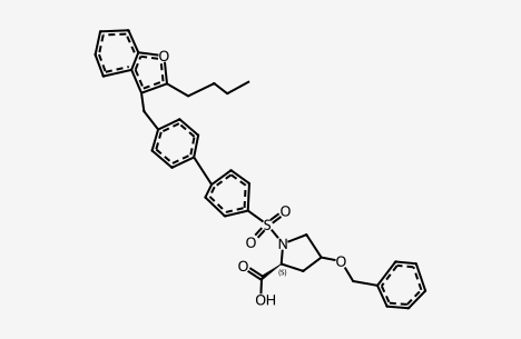 CCCCc1oc2ccccc2c1Cc1ccc(-c2ccc(S(=O)(=O)N3CC(OCc4ccccc4)C[C@H]3C(=O)O)cc2)cc1